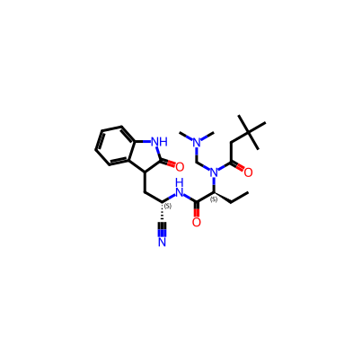 CC[C@@H](C(=O)N[C@H](C#N)CC1C(=O)Nc2ccccc21)N(CN(C)C)C(=O)CC(C)(C)C